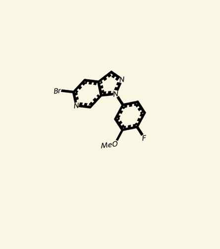 COc1cc(-n2ncc3cc(Br)ncc32)ccc1F